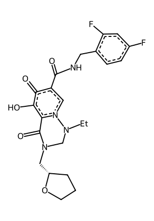 CCN1CN(C[C@@H]2CCCO2)C(=O)c2c(O)c(=O)c(C(=O)NCc3ccc(F)cc3F)cn21